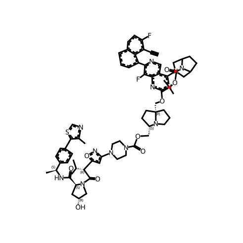 C#Cc1c(F)ccc2cccc(-c3ncc4c(N5CC6CCC(C5)N6C(=O)OC(C)(C)C)nc(OC[C@]56CCCN5[C@H](COC(=O)N5CCN(c7cc([C@H](C(=O)N8C[C@H](O)C[C@H]8C(=O)N[C@@H](C)c8ccc(-c9scnc9C)cc8)C(C)C)on7)CC5)CC6)nc4c3F)c12